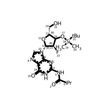 CC(C)C(=O)Nc1nc2c(ncn2[C@@H]2O[C@H](CO)C(O[Si](C)(C)C(C)(C)C)[C@H]2F)c(=O)[nH]1